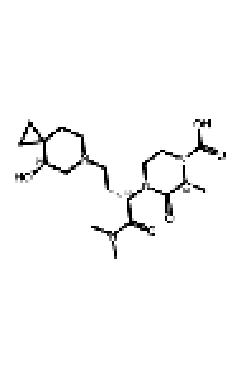 C[C@H]1C(=O)N([C@@H](CCN2CCC3(CC3)[C@H](O)C2)C(=O)N(C)C)CCN1C(=O)O